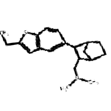 CCc1cc2cc(C3C4CCC(C4)C3CN(C)C)ccc2s1